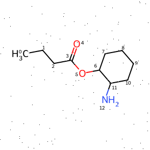 CCCC(=O)OC1CCCCC1N